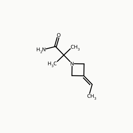 CC=C1CN(C(C)(C)C(N)=O)C1